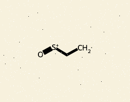 [CH2]C[S+]=O